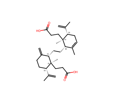 C=C(C)[C@@H]1CCC(=C)[C@H](CC[C@H]2C(C)=CC[C@@H](C(=C)C)[C@]2(C)CCC(=O)O)[C@@]1(C)CCC(=O)O